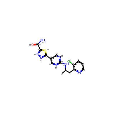 CC(Cc1ncccc1Cl)Nc1ncc(-c2nnc(C(N)=O)s2)cn1